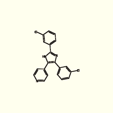 Clc1cccc(-c2nc(-c3cccc(Cl)c3)c(-c3ccncc3)[nH]2)c1